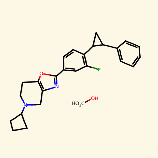 Fc1cc(-c2nc3c(o2)CCN(C2CCC2)C3)ccc1C1CC1c1ccccc1.O=C(O)O